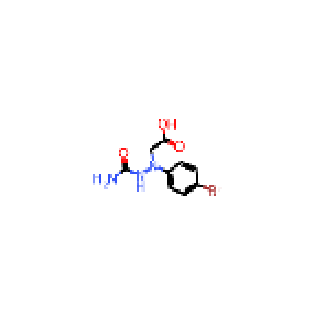 NC(=O)NN(CC(=O)O)c1ccc(Br)cc1